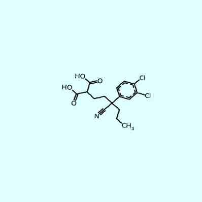 CCCC(C#N)(CCC(C(=O)O)C(=O)O)c1ccc(Cl)c(Cl)c1